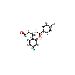 Cc1ccc(C(=O)C[C@@H](CC=O)c2ccc(F)cc2)cc1